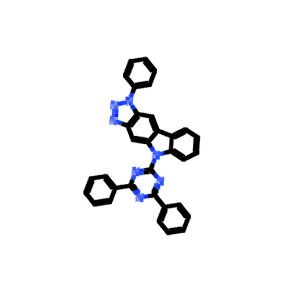 c1ccc(-c2nc(-c3ccccc3)nc(-n3c4ccccc4c4cc5c(cc43)nnn5-c3ccccc3)n2)cc1